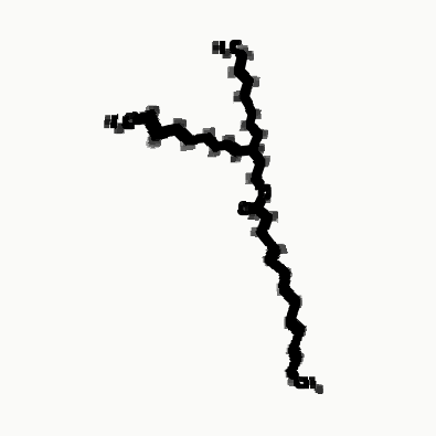 CCCCCCCCCCCCCC(=O)OCCC(CCCCCCCC)CCCCCCCCC